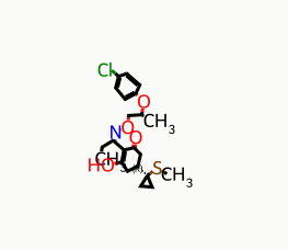 CCC(=NOCC(C)Oc1ccc(Cl)cc1)C1=C(O)C[C@@H](C2(SC)CC2)CC1=O